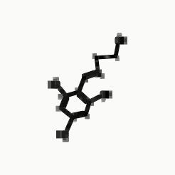 OCC/N=C/c1c(O)cc(O)cc1O